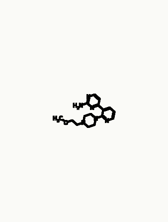 COCCN1CCN(c2ncccc2-c2ccnc(N)n2)CC1